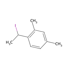 Cc1ccc(C(C)I)c(C)c1